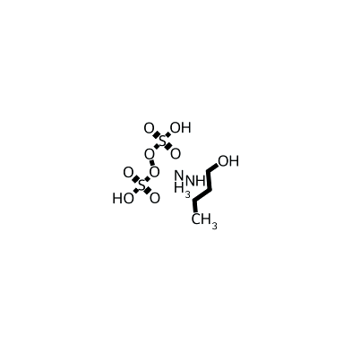 CCCCO.N.N.O=S(=O)(O)OOS(=O)(=O)O